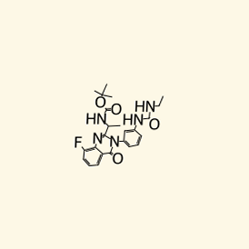 CCNC(=O)Nc1cccc(-n2c(C(C)NC(=O)OC(C)(C)C)nc3c(F)cccc3c2=O)c1